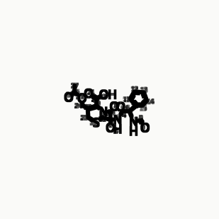 COC1(NC(=O)C(NC=O)c2ccccc2)C(=O)N2C(C(=O)O)=C(COC(C)=O)CSC21